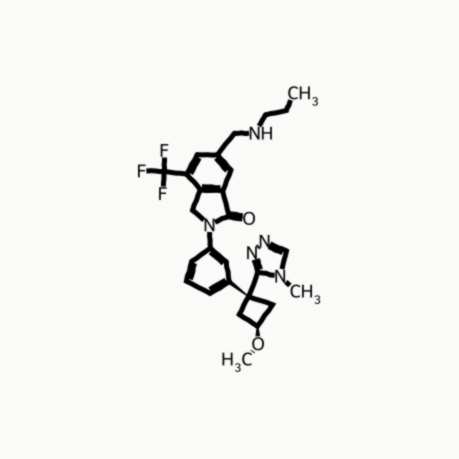 CCCNCc1cc2c(c(C(F)(F)F)c1)CN(c1cccc([C@]3(c4nncn4C)C[C@H](OC)C3)c1)C2=O